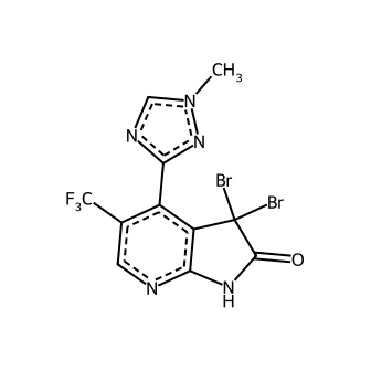 Cn1cnc(-c2c(C(F)(F)F)cnc3c2C(Br)(Br)C(=O)N3)n1